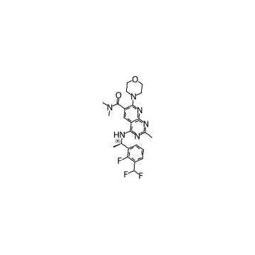 Cc1nc(N[C@H](C)c2cccc(C(F)F)c2F)c2cc(C(=O)N(C)C)c(N3CCOCC3)nc2n1